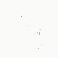 O=C(NCCCn1ccnc1)c1ccc2nc(NCc3ccccc3)c(-c3ccccc3)nc2c1